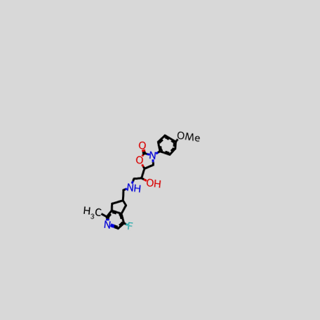 COc1ccc(N2CC(C(O)CNCC3Cc4c(F)cnc(C)c4C3)OC2=O)cc1